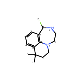 CC1(C)CCN2CCNC(F)c3cccc1c32